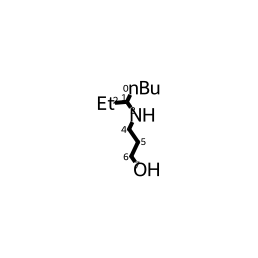 CCCCC(CC)NCCCO